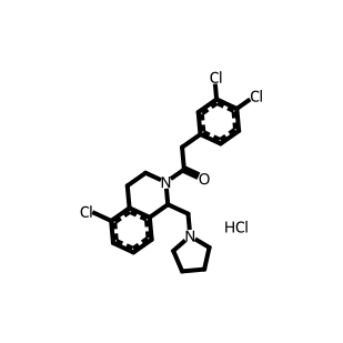 Cl.O=C(Cc1ccc(Cl)c(Cl)c1)N1CCc2c(Cl)cccc2C1CN1CCCC1